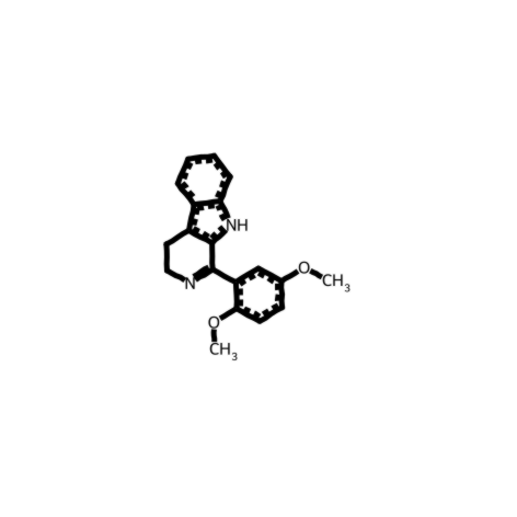 COc1ccc(OC)c(C2=NCCc3c2[nH]c2ccccc32)c1